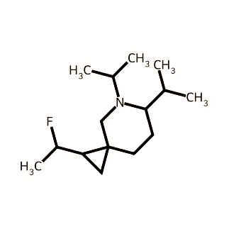 CC(C)C1CCC2(CC2C(C)F)CN1C(C)C